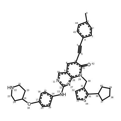 Cc1ccc(C#Cc2cc3cnc(Nc4ccc(OC5CCNCC5)cc4)nc3n(Cc3ccsc3C3CCCC3)c2=O)cc1